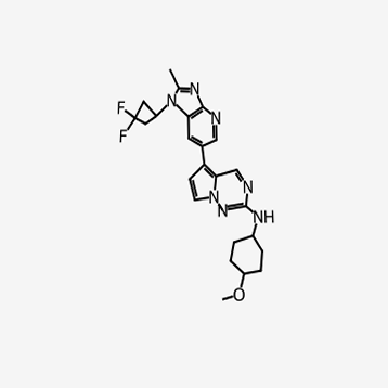 COC1CCC(Nc2ncc3c(-c4cnc5nc(C)n(C6CC(F)(F)C6)c5c4)ccn3n2)CC1